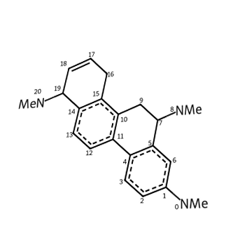 CNc1ccc2c(c1)C(NC)Cc1c-2ccc2c1CC=CC2NC